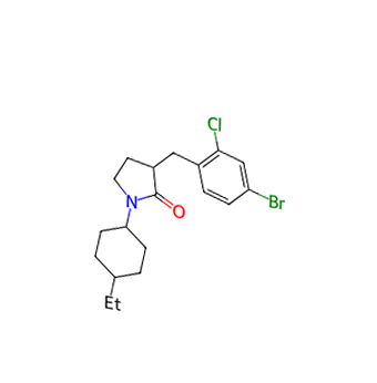 CCC1CCC(N2CCC(Cc3ccc(Br)cc3Cl)C2=O)CC1